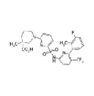 Cc1c(F)cccc1-c1nc(NS(=O)(=O)c2cccc(N3CCC[C@@](C)(C(=O)O)C3)n2)ccc1C(F)(F)F